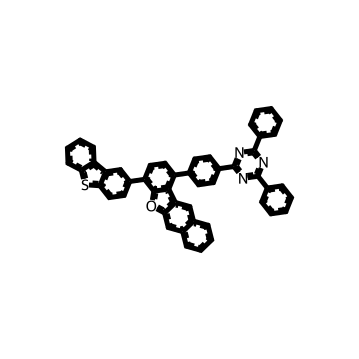 c1ccc(-c2nc(-c3ccccc3)nc(-c3ccc(-c4ccc(-c5ccc6sc7ccccc7c6c5)c5oc6cc7ccccc7cc6c45)cc3)n2)cc1